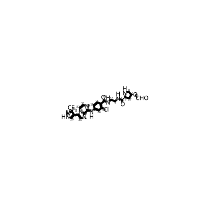 O=CO[C@H]1CN[C@H](C(=O)NCCNC(=O)c2ccc(Nc3nccn4c(-c5c[nH]nc5C(F)(F)F)cnc34)cc2Cl)C1